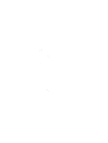 CN(C)C(=O)c1ccc(C(F)(F)F)c([N+](=O)[O-])c1